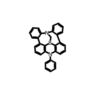 c1ccc(N2c3cccc4c3B3CN(c5ccccc5-4)c4ccccc4-c4cccc2c43)cc1